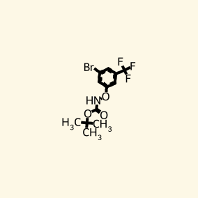 CC(C)(C)OC(=O)NOc1cc(Br)cc(C(F)(F)F)c1